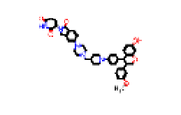 COc1cccc(C2COc3cc(O)ccc3C2c2ccc(N3CCC(CN4CCN(c5ccc6c(c5)CN([C@H]5CCC(=O)NC5=O)C6=O)CC4)CC3)cc2)c1